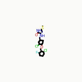 CSCC[C@H](NCc1ccc(OCc2c(F)cccc2Cl)c(Cl)c1)C(N)=O